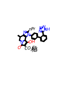 CCCc1nc2c(n1-c1ccc(-c3ccccc3-c3nnn[nH]3)cc1)C1C(O)=C(C(=O)OCC)C(=O)N1CC2C.[Na].[Na]